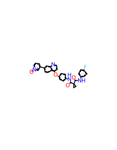 O=C(Nc1ccc(F)cc1)C1(C(=O)Nc2ccc(Oc3ccnc4cc(-c5ccc[n+]([O-])c5)ccc34)cc2)CC1